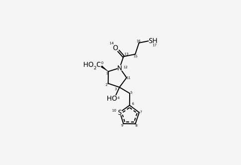 O=C(O)[C@@H]1CC(O)(Cc2cccs2)CN1C(=O)CCS